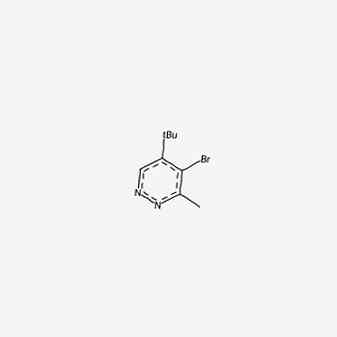 Cc1nncc(C(C)(C)C)c1Br